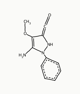 COC1=C(N)N(c2ccccc2)NC1=C=O